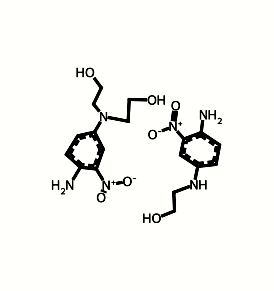 Nc1ccc(N(CCO)CCO)cc1[N+](=O)[O-].Nc1ccc(NCCO)cc1[N+](=O)[O-]